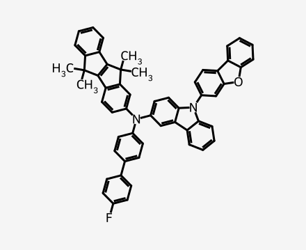 CC1(C)C2=C(c3ccccc31)C(C)(C)c1cc(N(c3ccc(-c4ccc(F)cc4)cc3)c3ccc4c(c3)c3ccccc3n4-c3ccc4c(c3)oc3ccccc34)ccc12